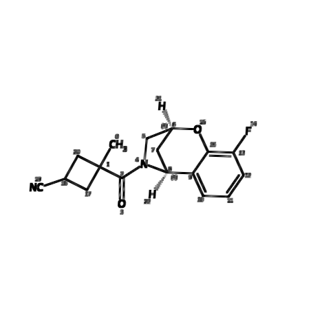 CC1(C(=O)N2C[C@@H]3C[C@H]2c2cccc(F)c2O3)CC(C#N)C1